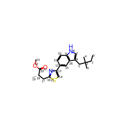 CCC(C)(C)Cc1c[nH]c2ccc(-c3csc(C[C@H](C)C(=O)OC)n3)cc12